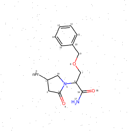 CCCC1CC(=O)N(C(COCc2ccccc2)C(N)=O)C1